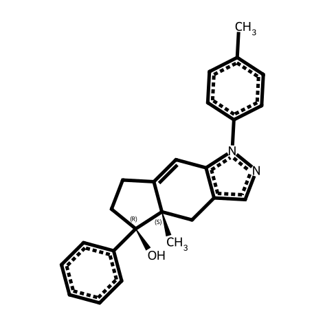 Cc1ccc(-n2ncc3c2C=C2CC[C@@](O)(c4ccccc4)[C@@]2(C)C3)cc1